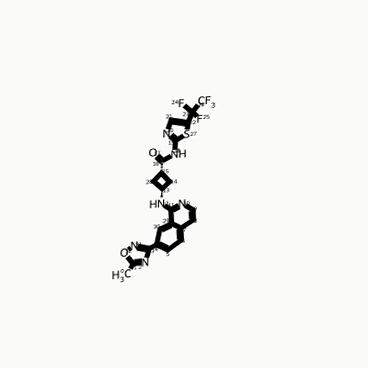 Cc1nc(-c2ccc3ccnc(N[C@H]4C[C@@H](C(=O)Nc5ncc(C(F)(F)C(F)(F)F)s5)C4)c3c2)no1